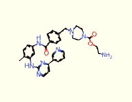 Cc1ccc(NC(=O)c2ccc(CN3CCN(C(=O)OCCN)CC3)cc2)cc1Nc1nccc(-c2cccnc2)n1